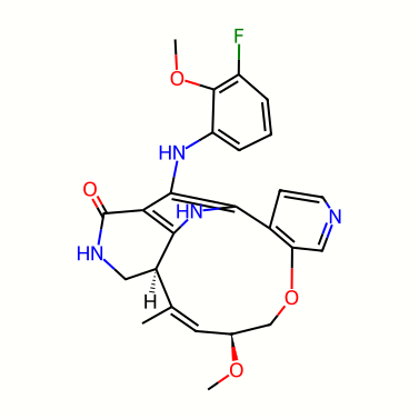 COc1c(F)cccc1Nc1c2[nH]c3c1C(=O)NC[C@@H]3/C(C)=C\[C@H](OC)COc1cnccc1-2